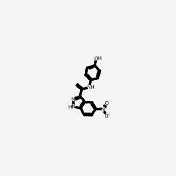 C=C(Nc1ccc(O)cc1)c1n[nH]c2ccc([N+](=O)[O-])cc12